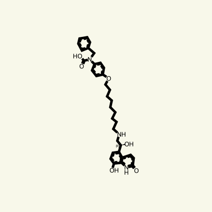 O=C(O)N(Cc1ccccc1)c1ccc(OCCCCCCCCCNC[C@H](O)c2ccc(O)c3[nH]c(=O)ccc23)cc1